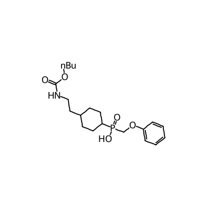 CCCCOC(=O)NCCC1CCC(P(=O)(O)COc2ccccc2)CC1